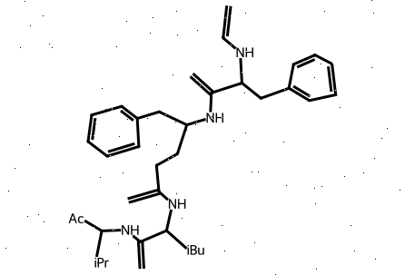 C=CNC(Cc1ccccc1)C(=C)NC(CCC(=C)NC(C(=C)NC(C(C)=O)C(C)C)C(C)CC)Cc1ccccc1